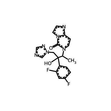 CC(n1ccc2nccn2c1=O)C(O)(Cn1cncn1)c1ccc(F)cc1F